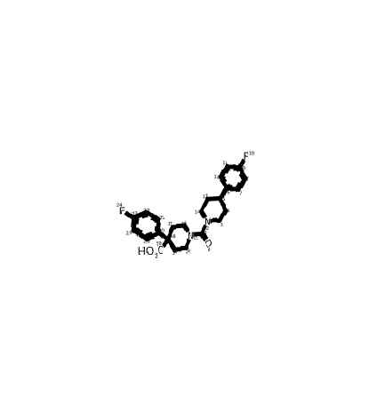 O=C(N1CCC(c2ccc(F)cc2)CC1)N1CCC(C(=O)O)(c2ccc(F)cc2)CC1